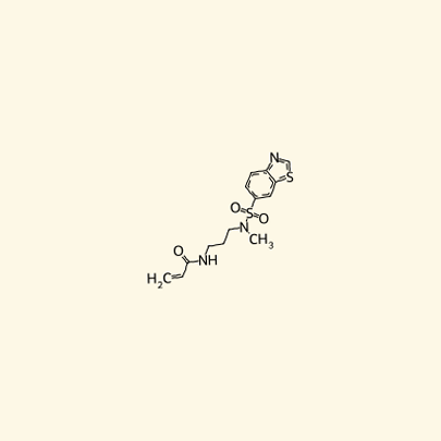 C=CC(=O)NCCCN(C)S(=O)(=O)c1ccc2ncsc2c1